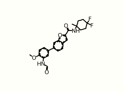 COc1ccc(-c2ccc3cc(C(=O)NC4(C)CCC(F)(F)CC4)oc3c2)cc1NC=O